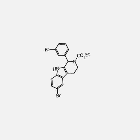 CCOC(=O)N1CCc2c([nH]c3ccc(Br)cc23)C1c1cccc(Br)c1